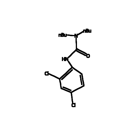 CCCCN(CCCC)C(=O)Nc1ccc(Cl)cc1Cl